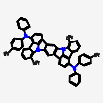 CCCc1cccc2c3c(N(c4ccccc4)c4ccc(C(C)C)cc4)ccc4c5cc6c(cc5n(c12)c43)c1ccc(N(c2ccccc2)c2ccc(C(C)C)cc2)c2c3cccc(CCC)c3n6c12